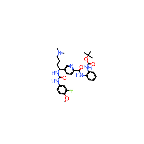 COc1ccc(NC(=O)NC(CCCN(C)C)c2ccc(C(=O)Nc3ccccc3NC(=O)OC(C)(C)C)nc2)cc1F